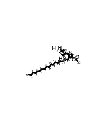 CCCCCCCCCCCCCCCCNCc1c(OC(C)=O)csc1-c1csc(N)n1